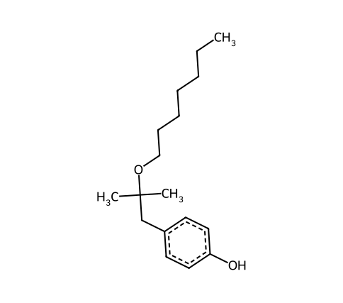 CCCCCCCOC(C)(C)Cc1ccc(O)cc1